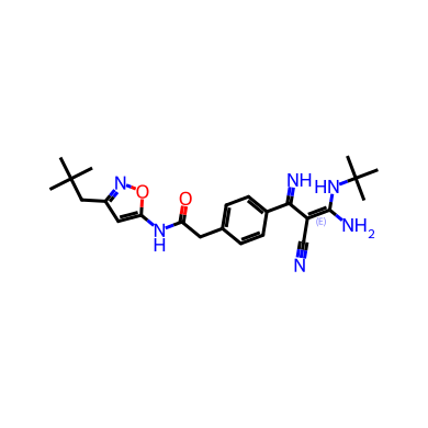 CC(C)(C)Cc1cc(NC(=O)Cc2ccc(C(=N)/C(C#N)=C(/N)NC(C)(C)C)cc2)on1